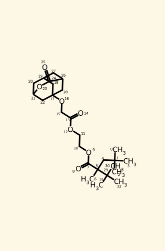 CC(C)(C)CC(C)(C(=O)OCCOC(=O)COC12CC3CC(C1)OC(=O)C(C3)C2)C(C)(C)C